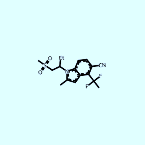 CCC(CS(C)(=O)=O)n1c(C)cc2c(C(C)(F)F)c(C#N)ccc21